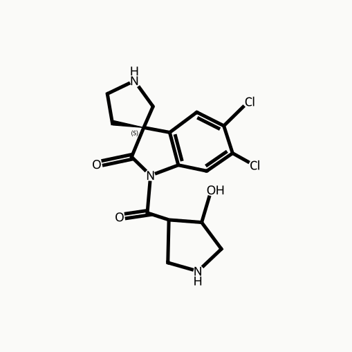 O=C(C1CNCC1O)N1C(=O)[C@@]2(CCNC2)c2cc(Cl)c(Cl)cc21